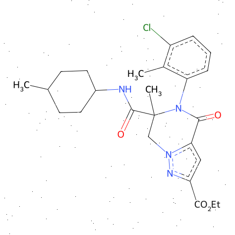 CCOC(=O)c1cc2n(n1)CC(C)(C(=O)NC1CCC(C)CC1)N(c1cccc(Cl)c1C)C2=O